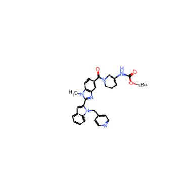 Cn1c(-c2cc3ccccc3n2Cc2ccncc2)nc2cc(C(=O)N3CCCC(NC(=O)OC(C)(C)C)C3)ccc21